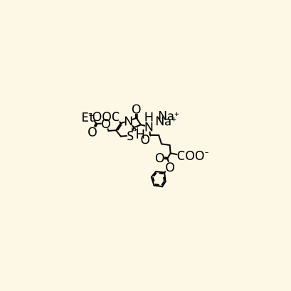 CCC(=O)OCC1=C(C(=O)[O-])N2C(=O)C(NC(=O)CCCC(C(=O)[O-])C(=O)Oc3ccccc3)[C@@H]2SC1.[Na+].[Na+]